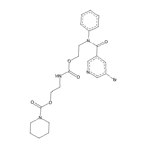 O=C(NCCOC(=O)N1CCCCC1)OCCN(C(=O)c1cncc(Br)c1)c1ccccc1